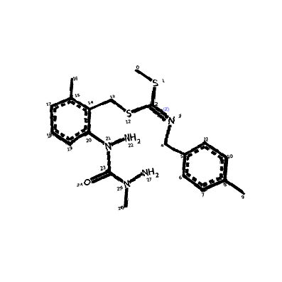 CS/C(=N/Cc1ccc(C)cc1)SCc1c(C)cccc1N(N)C(=O)N(C)N